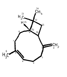 C=C1CCC=C(C)CC[C@H]2C1CC2(C)C